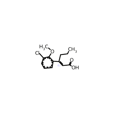 CCC/C(=C\C(=O)O)c1cccc(Cl)c1OC